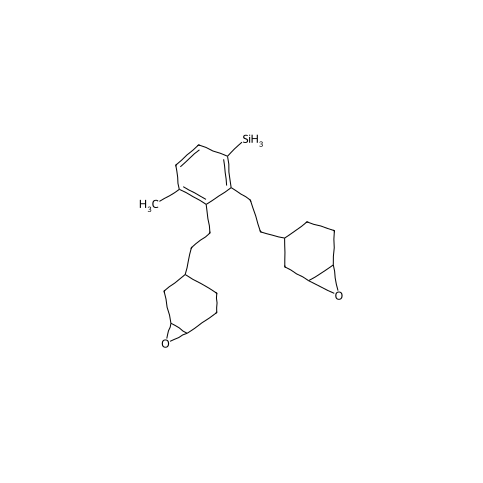 Cc1ccc([SiH3])c(CCC2CCC3OC3C2)c1CCC1CCC2OC2C1